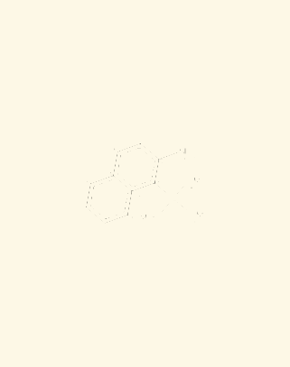 CO[Si](OC)(OC)c1c(N)ccc2ccccc12